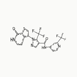 O=C(Nc1ccnc(C(F)(F)F)c1)c1cnn(-c2csc3c(=O)[nH]ccc23)c1C(F)(F)F